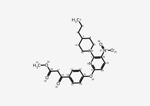 CCCC1CCN(c2nc(Oc3ccc(C(=O)CC(=O)OC)cc3)ccc2[N+](=O)[O-])CC1